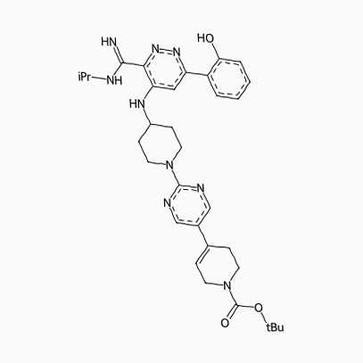 CC(C)NC(=N)c1nnc(-c2ccccc2O)cc1NC1CCN(c2ncc(C3=CCN(C(=O)OC(C)(C)C)CC3)cn2)CC1